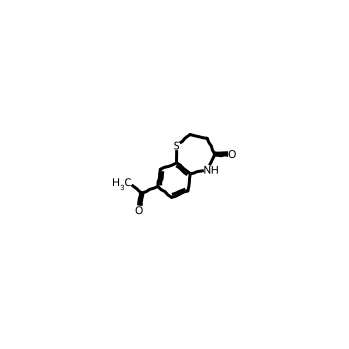 CC(=O)c1ccc2c(c1)SCCC(=O)N2